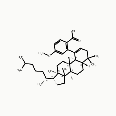 COc1ccc(C(=O)O)c(C2=CCC(C)(C)[C@@H]3CC[C@@H]4[C@]5(CC[C@]6(C)[C@@H]([C@H](C)CCCC(C)C)CC[C@@]46C)C[C@]235)c1